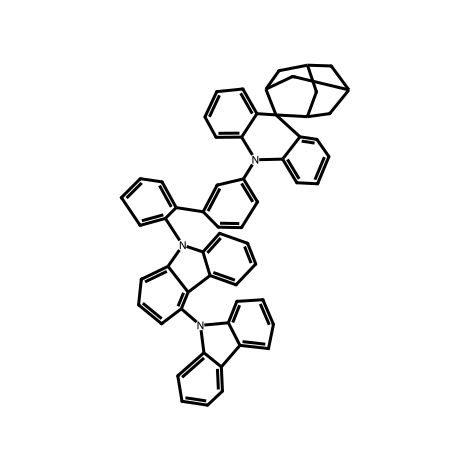 c1cc(-c2ccccc2-n2c3ccccc3c3c(-n4c5ccccc5c5ccccc54)cccc32)cc(N2c3ccccc3C3(c4ccccc42)C2CC4CC(C2)CC3C4)c1